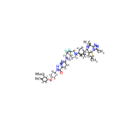 COc1cc(OC2CCC(NC(=O)c3ccc(N4CC(F)(F)C5(CCN(c6ccc(C7=N[C@@H](C)c8nnc(C)n8-c8sc(C)c(C)c87)cc6)CC5)C4)nn3)CC2)ccc1C#N